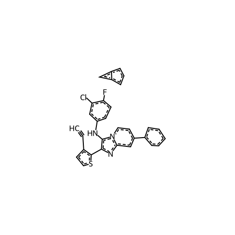 C#Cc1ccsc1-c1nc2cc(-c3ccccc3)ccn2c1Nc1ccc(F)c(Cl)c1.c1cc2cc-2c1